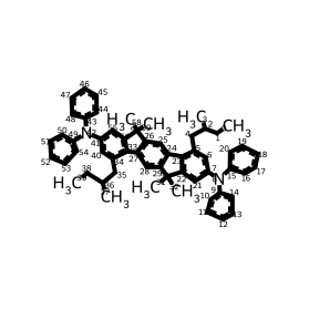 CCC(C)Cc1cc(N(c2ccccc2)c2ccccc2)cc2c1-c1cc3c(cc1C2(C)C)-c1c(CC(C)CC)cc(N(c2ccccc2)c2ccccc2)cc1C3(C)C